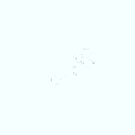 O=C(c1cnc(C#Cc2ccccc2)s1)N1CCOc2ccccc21